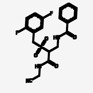 N#CCNC(=O)C(CNC(=O)c1ccccc1)S(=O)(=O)Cc1cc(F)ccc1F